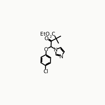 CCOC(=O)C(C)(C)C(=O)C(Oc1ccc(Cl)cc1)n1ccnc1